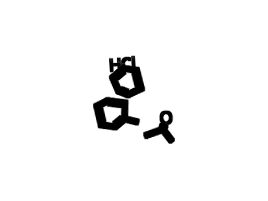 CC(C)=O.Cc1ccccc1.Cl.c1ccccc1